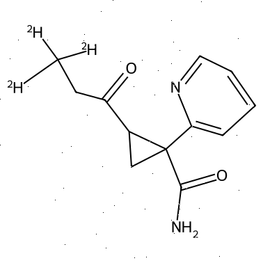 [2H]C([2H])([2H])CC(=O)C1CC1(C(N)=O)c1ccccn1